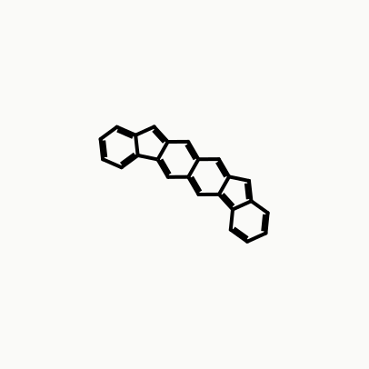 C1=c2cc3cc4c(cc3cc2-c2ccccc21)=c1ccccc1=C4